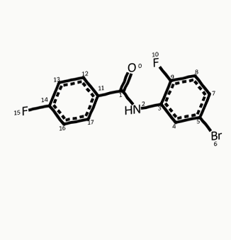 O=C(Nc1cc(Br)ccc1F)c1ccc(F)cc1